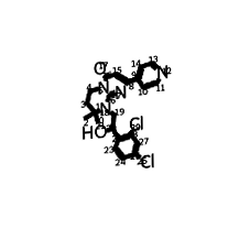 CC1(C)CCn2c(nc(-c3ccncc3)cc2=O)N1CC(O)c1ccc(Cl)cc1Cl